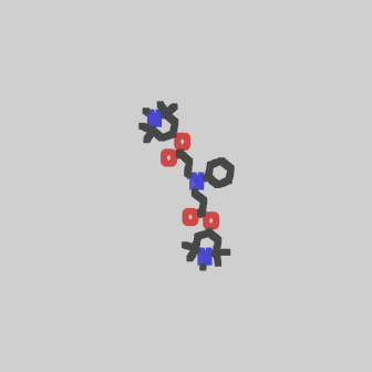 CN1C(C)(C)CC(OC(=O)CCN(CCC(=O)OC2CC(C)(C)N(C)C(C)(C)C2)C2CCCCC2)CC1(C)C